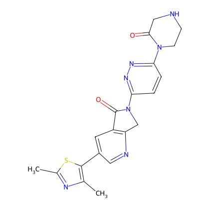 Cc1nc(C)c(-c2cnc3c(c2)C(=O)N(c2ccc(N4CCNCC4=O)nn2)C3)s1